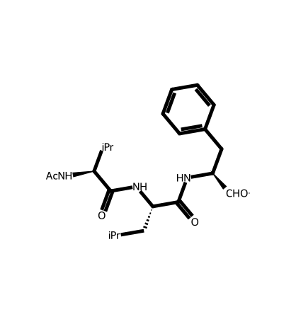 CC(=O)N[C@H](C(=O)N[C@@H](CC(C)C)C(=O)N[C@H]([C]=O)Cc1ccccc1)C(C)C